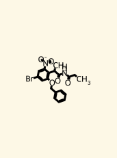 CCC(=O)NC(=O)C(C)c1c(OCc2ccccc2)cc(Br)cc1[N+](=O)[O-]